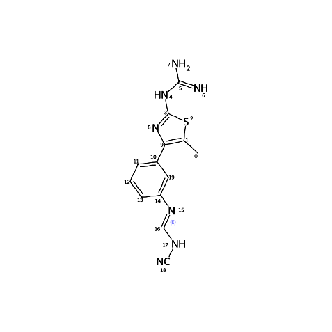 Cc1sc(NC(=N)N)nc1-c1cccc(/N=C/NC#N)c1